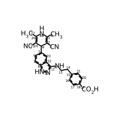 CC1=C(C#N)C(c2ccc3[nH]nc(NCCc4ccc(C(=O)O)cc4)c3c2)C(C#N)=C(C)N1